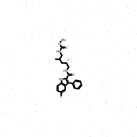 CC(CNC(=O)OC(C)(C)C)C[C@H](C)CNC(=O)c1[nH]c2ccc(F)cc2c1-c1ccccc1